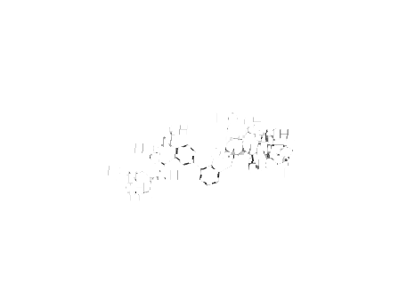 COc1c(CC2C[C@@H](CO)[C@@H]([C@H](C)O)[C@H]2C(=O)N[C@H]2C[C@H]3C[C@@H]([C@@H]2C)C3(C)C)cccc1-c1ccc(N(C)C)c(C(=O)N[C@@H](CC(C)C)CN(C)C)c1